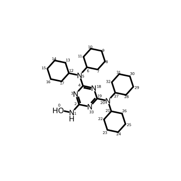 ONc1nc(N(C2CCCCC2)C2CCCCC2)nc(N(C2CCCCC2)C2CCCCC2)n1